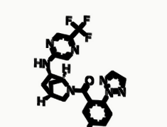 O=C(c1cc(F)ccc1-n1nccn1)N1C[C@@H]2C[C@@H](Nc3cnc(C(F)(F)F)cn3)[C@@H]1C2